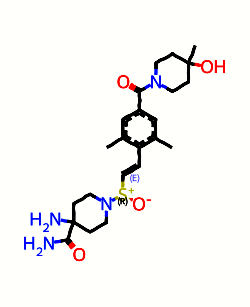 Cc1cc(C(=O)N2CCC(C)(O)CC2)cc(C)c1/C=C/[S@+]([O-])N1CCC(N)(C(N)=O)CC1